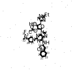 CCn1nnc([C@H]2O[C@@H](n3cnc4c(N[C@H](CO)Cc5ccccc5)nc(N5CC[C@@H](N(C)C)C5)nc43)C(OC(=O)C(F)(F)F)C2O)n1